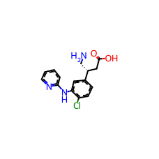 NC[C@H](CC(=O)O)c1ccc(Cl)c(Nc2ccccn2)c1